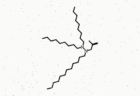 C=C(C)CN(CCCCCCCCCCCC)N(CCCCCCCCC)CCCCCCCCC